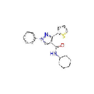 O=C(NC1CCCCC1)c1cn(-c2ccccc2)nc1-c1cccs1